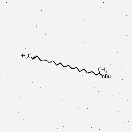 [CH2]C=CCCCCCCCCCCCCCCCC(C)CCC[CH2]